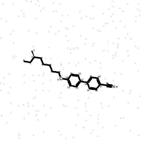 CC[C@@H](C)CCCCCOc1ccc(-c2ccc(C#N)cc2)cc1